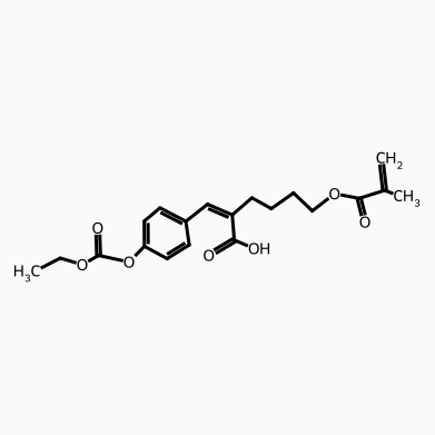 C=C(C)C(=O)OCCCCC(=Cc1ccc(OC(=O)OCC)cc1)C(=O)O